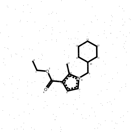 CCOC(=O)c1ccn(CC2CCCCC2)c1C